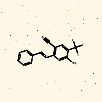 N#Cc1cc(C(F)(F)F)c(N)cc1C=Cc1ccccc1